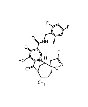 C[C@H]1CC[C@]2(CC(F)=NO2)[C@H]2CN1C(=O)c1c(O)c(=O)c(C(=O)NCc3c(F)cc(F)cc3F)cn12